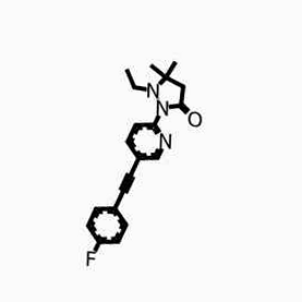 CCN1N(c2ccc(C#Cc3ccc(F)cc3)cn2)C(=O)CC1(C)C